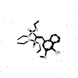 CCOP(=O)(OCC)C(=Cc1cc(OC)c(O)c2ccccc12)P(=O)(OCC)OCC